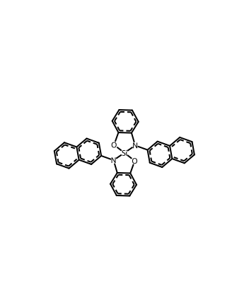 c1ccc2c(c1)O[Si]1(Oc3ccccc3N1c1ccc3ccccc3c1)N2c1ccc2ccccc2c1